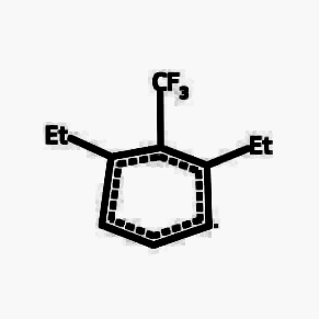 CCc1[c]ccc(CC)c1C(F)(F)F